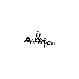 Cc1cccc(/C=N/Nc2nc(N3CCOCC3)c3nc(C(=O)NC4CCNCC4)sc3n2)c1